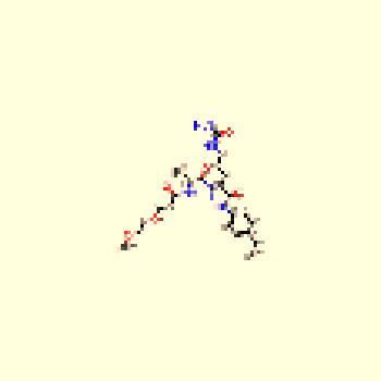 CCCOCCOCCC(=O)N[C@H](C(=O)N[C@@H](CCCNC(N)=O)C(=O)Nc1ccc(CC(C)C)cc1)C(C)C